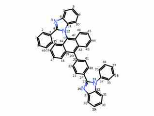 c1ccc(-c2nc3ccccc3n2-c2c3ccccc3c(-c3ccc(-c4nc5ccccc5n4-c4ccccc4)cc3)c3ccccc23)cc1